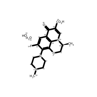 C[C@H]1COc2c(N3CCN(C)CC3)c(F)cc3c(=O)c(C(=O)O)cn1c23.Cl.O